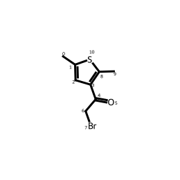 Cc1cc(C(=O)CBr)c(C)s1